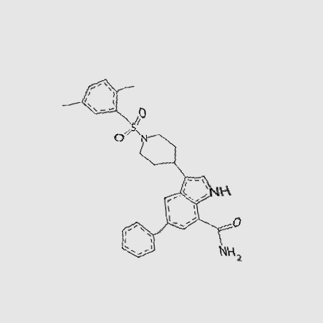 Cc1ccc(C)c(S(=O)(=O)N2CCC(c3c[nH]c4c(C(N)=O)cc(-c5ccccc5)cc34)CC2)c1